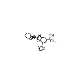 O=C(O)N1C2CCCC1CN(c1nc3cc(C(O)C(F)(F)F)cc(-c4nccs4)c3o1)C2